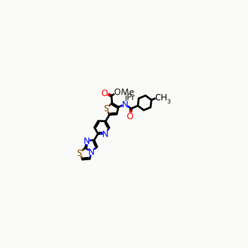 COC(=O)c1sc(-c2ccc(-c3cn4ccsc4n3)nc2)cc1N(C(=O)C1CCC(C)CC1)C(C)C